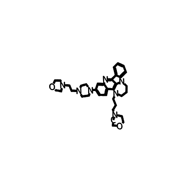 c1ccc2c(c1)c1nc3cc(N4CCN(CCN5CCOCC5)CC4)ccc3c3c1n2CCCN3CCCN1CCOCC1